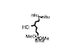 CCCCP(CCCC)CCC(C)CCC[Si](OC)(OC)OC.Cl